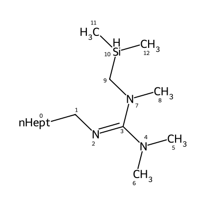 CCCCCCCCN=C(N(C)C)N(C)C[SiH](C)C